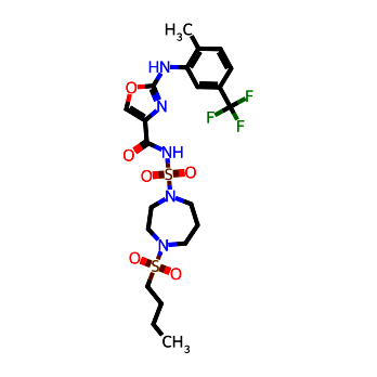 CCCCS(=O)(=O)N1CCCN(S(=O)(=O)NC(=O)c2coc(Nc3cc(C(F)(F)F)ccc3C)n2)CC1